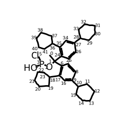 CC(OP(O)Cl)(c1ccc(C2CCCCC2)cc1C1CCCCC1)c1ccc(C2CCCCC2)cc1C1CCCCC1